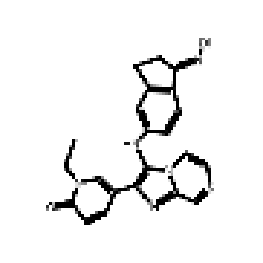 CCn1cc(-c2nc3cnccn3c2Nc2ccc3c(c2)CC/C3=N\O)ccc1=O